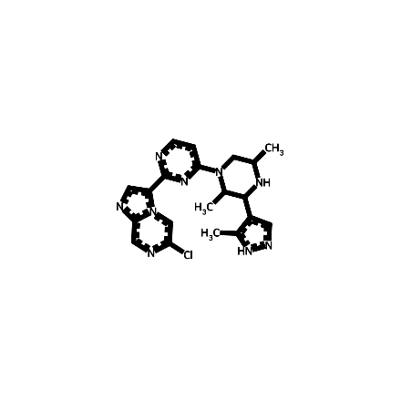 Cc1[nH]ncc1C1NC(C)CN(c2ccnc(-c3cnc4cnc(Cl)cn34)n2)C1C